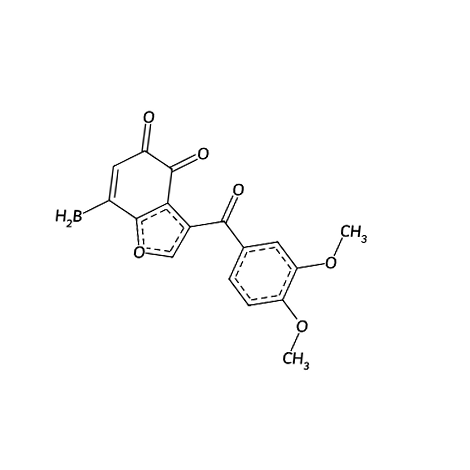 BC1=CC(=O)C(=O)c2c(C(=O)c3ccc(OC)c(OC)c3)coc21